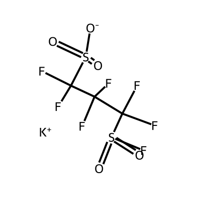 O=S(=O)([O-])C(F)(F)C(F)(F)C(F)(F)S(=O)(=O)F.[K+]